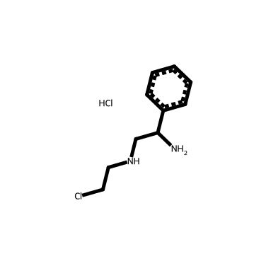 Cl.NC(CNCCCl)c1ccccc1